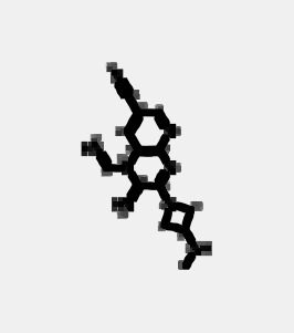 CNC1CN(c2nc3ncc(C#N)cc3n(C=N)c2=N)C1